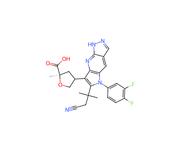 CC(C)(CC#N)c1c(C2CO[C@@](C)(C(=O)O)C2)c2nc3[nH]ncc3cc2n1-c1ccc(F)c(F)c1